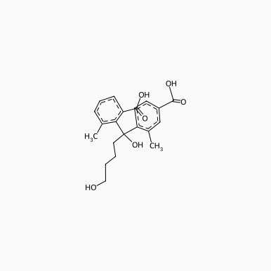 Cc1cc(C(=O)O)ccc1C(O)(CCCCO)c1c(C)cccc1C(=O)O